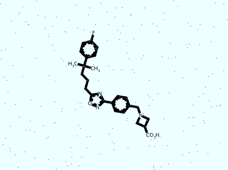 CC(C)(CCCc1nc(-c2ccc(CN3CC(C(=O)O)C3)cc2)no1)c1ccc(F)cc1